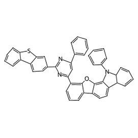 C1=CC2c3ccc4c(oc5c(-c6cc(-c7ccccc7)nc(-c7ccc8c(c7)sc7ccccc78)n6)cccc54)c3N(c3ccccc3)C2C=C1